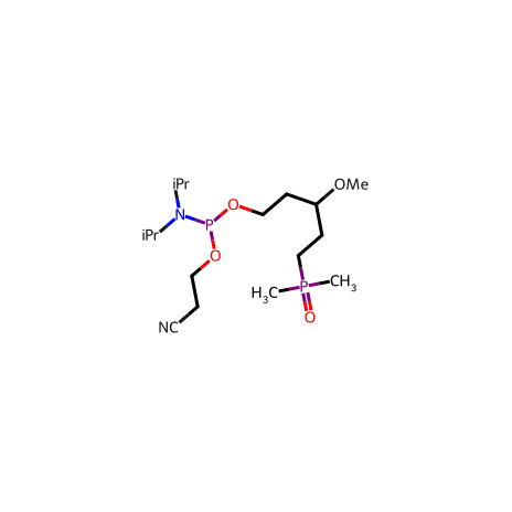 COC(CCOP(OCCC#N)N(C(C)C)C(C)C)CCP(C)(C)=O